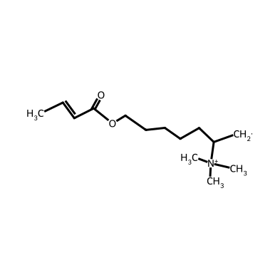 [CH2]C(CCCCCOC(=O)C=CC)[N+](C)(C)C